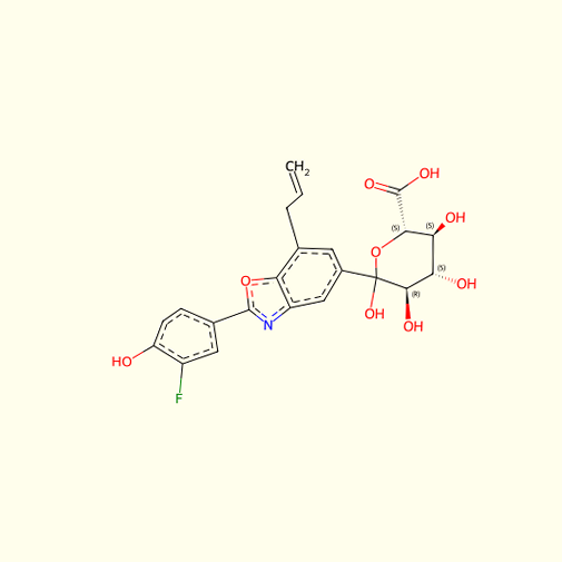 C=CCc1cc(C2(O)O[C@H](C(=O)O)[C@@H](O)[C@H](O)[C@H]2O)cc2nc(-c3ccc(O)c(F)c3)oc12